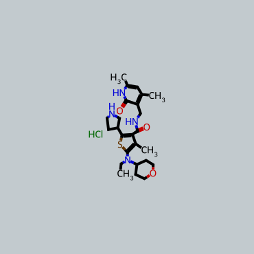 CCN(c1sc(C2CCNC2)c(C(=O)NCc2c(C)cc(C)[nH]c2=O)c1C)C1CCOCC1.Cl